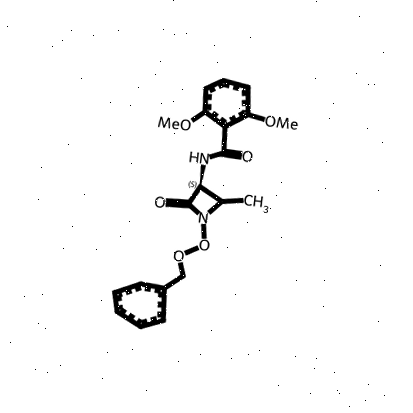 COc1cccc(OC)c1C(=O)N[C@@H]1C(=O)N(OOCc2ccccc2)C1C